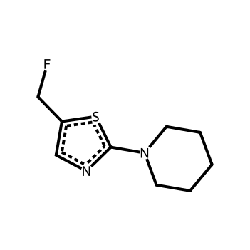 FCc1cnc(N2CCCCC2)s1